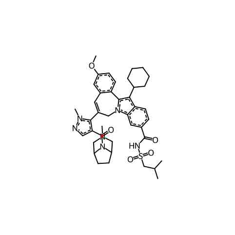 COc1ccc2c(c1)C=C(c1c(C(=O)N3C4CCC3CN(C)C4)cnn1C)Cn1c-2c(C2CCCCC2)c2ccc(C(=O)NS(=O)(=O)CC(C)C)cc21